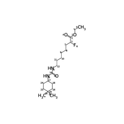 CCOC(=O)C(F)CCCCCCNC(=O)NC1CCC(C)(C)CC1